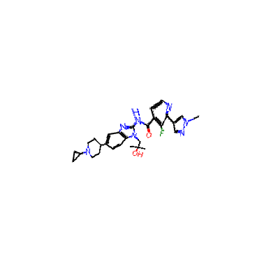 Cn1cc(-c2nccc(C(=O)Nc3nc4cc(C5CCN(C6CC6)CC5)ccc4n3CC(C)(C)O)c2F)cn1